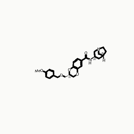 COc1ccc(COC[C@H]2COc3cc(C(=O)N[C@@H]4C[C@H]5CCN(C5)C4)ccc3O2)cc1